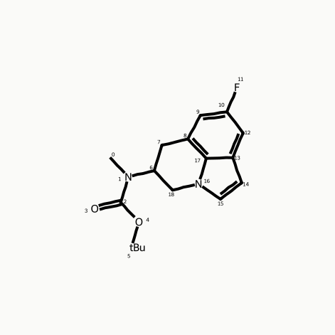 CN(C(=O)OC(C)(C)C)C1Cc2cc(F)cc3ccn(c23)C1